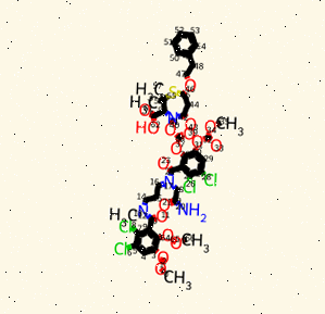 COOc1cc(Cl)c(Cl)c(C(=O)N(C)CCCN(CC(N)=O)C(=O)c2c(Cl)c(Cl)cc(OC(=O)OC)c2OC(=O)ON2C(=O)CC(OCCc3ccccc3)SC(C)(C)C2C(=O)O)c1OOC